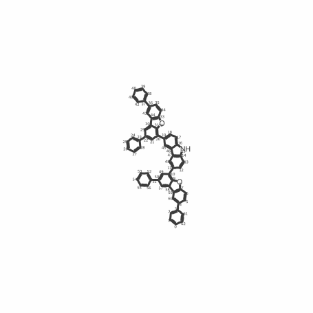 c1ccc(-c2ccc3oc4c(-c5ccc6[nH]c7ccc(-c8cc(-c9ccccc9)cc9c8oc8ccc(-c%10ccccc%10)cc89)cc7c6c5)cc(-c5ccccc5)cc4c3c2)cc1